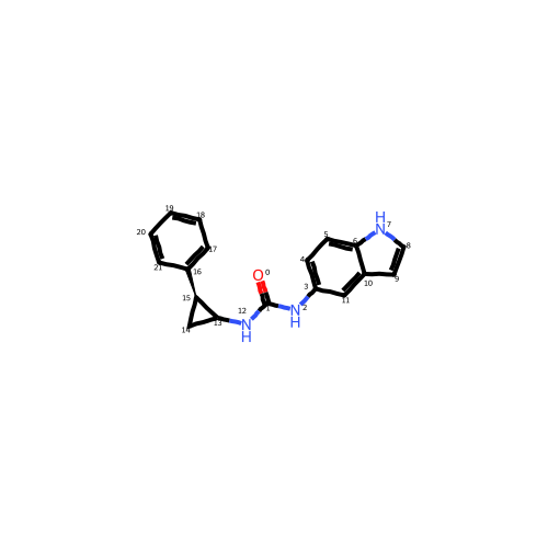 O=C(Nc1ccc2[nH]ccc2c1)NC1C[C@H]1c1ccccc1